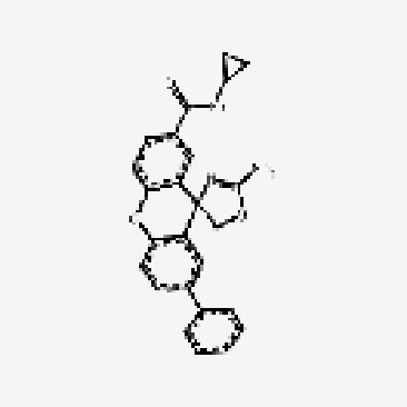 NC1=N[C@@]2(CO1)c1cc(C(=O)NC3CC3)ccc1Oc1ccc(-c3ccccc3)cc12